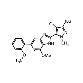 COc1nc(-c2ccccc2OC(F)(F)F)cc2nc(-c3c(Cl)c(C(C)(C)C)nn3C)[nH]c12